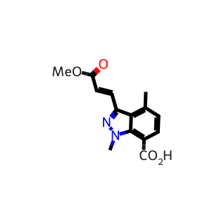 COC(=O)/C=C/c1nn(C)c2c(C(=O)O)ccc(C)c12